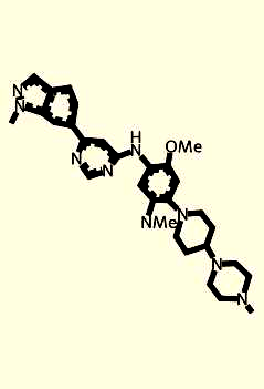 CNc1cc(Nc2cc(-c3ccc4cnn(C)c4c3)ncn2)c(OC)cc1N1CCC(N2CCN(C)CC2)CC1